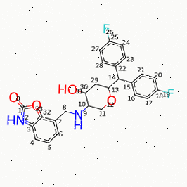 O=c1[nH]c2cccc(CNC3COC(C(c4ccc(F)cc4)c4ccc(F)cc4)CC3O)c2o1